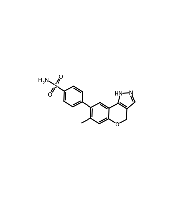 Cc1cc2c(cc1-c1ccc(S(N)(=O)=O)cc1)-c1[nH]n[c]c1CO2